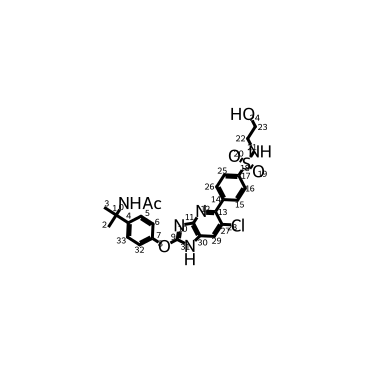 CC(=O)NC(C)(C)c1ccc(Oc2nc3nc(-c4ccc(S(=O)(=O)NCCO)cc4)c(Cl)cc3[nH]2)cc1